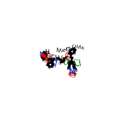 COc1ccc(C(Cc2c(Cl)c[n+]([O-])cc2Cl)OC(=O)c2ccc(CNC(C)(C(=O)O[C@H]3CN4CCC3CC4)c3ccccc3)s2)cc1OC